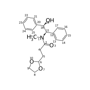 CN(C(=O)CCC1OCCO1)[C@H](c1ccccc1)[C@H](O)c1ccccc1